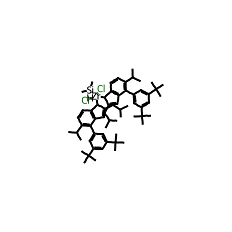 CC(C)CC1=Cc2c(ccc(C(C)C)c2-c2cc(C(C)(C)C)cc(C(C)(C)C)c2)[CH]1[Zr]([Cl])([Cl])([CH]1C(CC(C)C)=Cc2c1ccc(C(C)C)c2-c1cc(C(C)(C)C)cc(C(C)(C)C)c1)[SiH](C)C